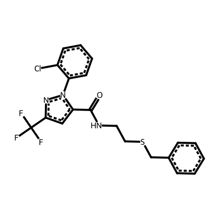 O=C(NCCSCc1ccccc1)c1cc(C(F)(F)F)nn1-c1ccccc1Cl